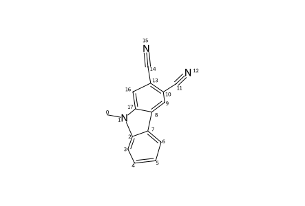 Cn1c2ccccc2c2cc(C#N)c(C#N)cc21